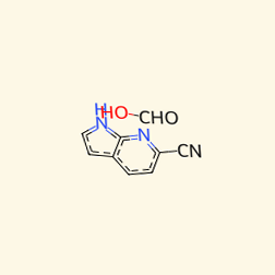 N#Cc1ccc2cc[nH]c2n1.O=CO